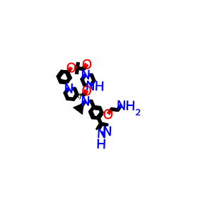 CC(C)(Oc1cccc(N2CCC[C@@H](C(=O)N(Cc3ccc(-c4cn[nH]c4)c(OCCN)c3)C3CC3)C2)c1)C(=O)N1CCNCC1